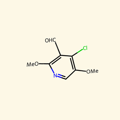 COc1cnc(OC)c(C=O)c1Cl